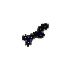 c1ccc(N(c2ccccc2)c2ccc(-c3ccc4c(c3)c3ccccc3n4-c3ccc4sc5ccccc5c4c3)cc2)cc1